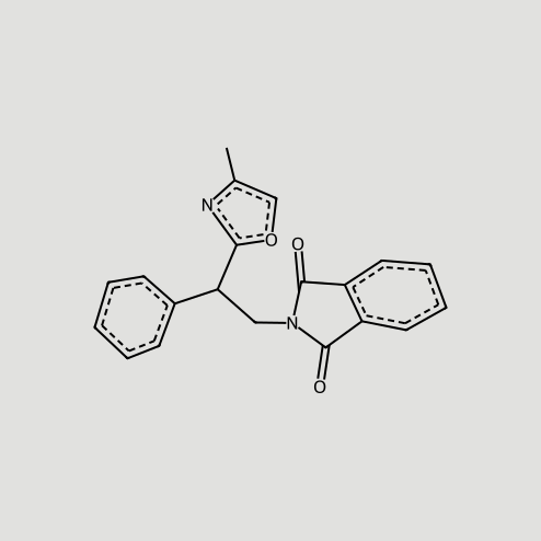 Cc1coc(C(CN2C(=O)c3ccccc3C2=O)c2ccccc2)n1